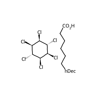 CCCCCCCCCCCCCCCC(=O)O.Cl[C@H]1[C@H](Cl)[C@@H](Cl)[C@@H](Cl)[C@H](Cl)[C@H]1Cl